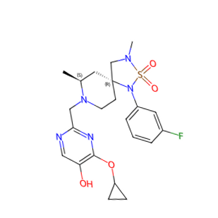 C[C@H]1C[C@]2(CCN1Cc1ncc(O)c(OC3CC3)n1)CN(C)S(=O)(=O)N2c1cccc(F)c1